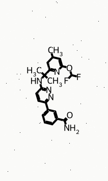 CC1C=C(OC(F)F)N=C(C(C)(C)Nc2ccc(-c3cccc(C(N)=O)c3)nn2)C1